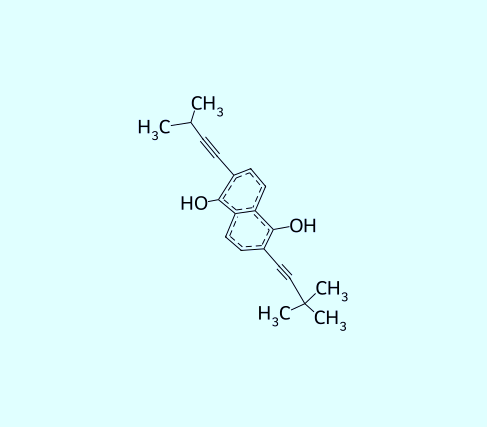 CC(C)C#Cc1ccc2c(O)c(C#CC(C)(C)C)ccc2c1O